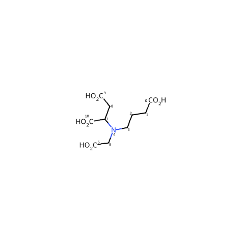 O=C(O)CCCN(CC(=O)O)C(CC(=O)O)C(=O)O